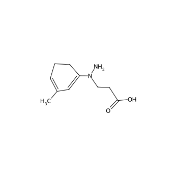 CC1=CCCC(N(N)CCC(=O)O)=C1